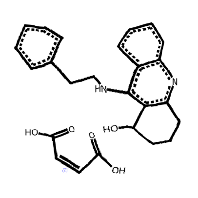 O=C(O)/C=C\C(=O)O.OC1CCCc2nc3ccccc3c(NCCc3ccccc3)c21